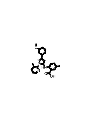 COc1cccc(-c2cc(Nc3ccc(C)cc3C(=O)O)n(-c3ncccc3C)n2)c1